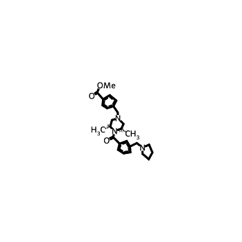 COC(=O)c1ccc(CN2C[C@@H](C)N(C(=O)c3cccc(CN4CCCC4)c3)[C@@H](C)C2)cc1